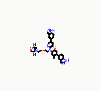 Cc1cc2c(cc1-c1ccc3[nH]ncc3c1)Oc1cc(-c3ccc4[nH]ncc4c3)cnc1N2CCOCCN1C[C@H]2C[C@@H]1CO2